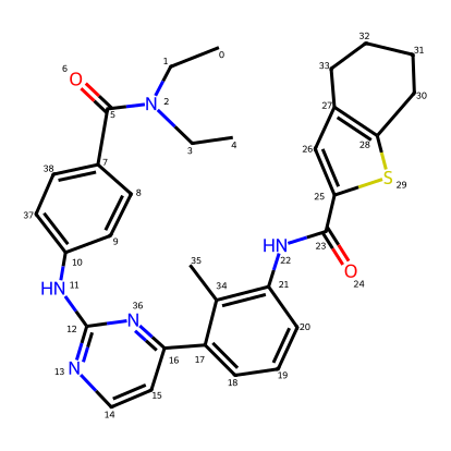 CCN(CC)C(=O)c1ccc(Nc2nccc(-c3cccc(NC(=O)c4cc5c(s4)CCCC5)c3C)n2)cc1